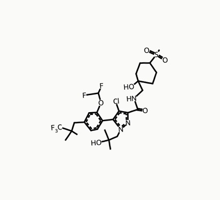 CC(C)(O)Cn1nc(C(=O)NCC2(O)CCC(S(C)(=O)=O)CC2)c(Cl)c1-c1ccc(CC(C)(C)C(F)(F)F)cc1OC(F)F